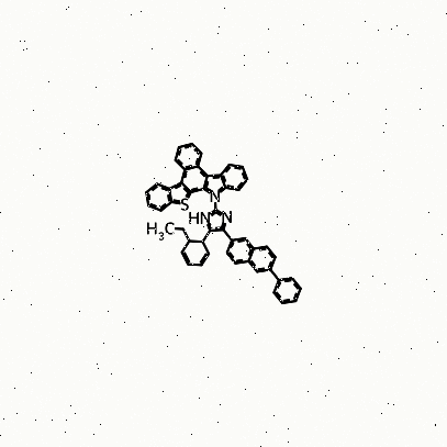 CCC1C=CC=CC1c1[nH]c(-n2c3ccccc3c3c4ccccc4c4c5ccccc5sc4c32)nc1-c1ccc2cc(-c3ccccc3)ccc2c1